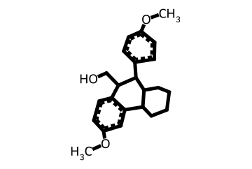 COc1ccc(C2C(CO)c3ccc(OC)cc3C3CCCCC32)cc1